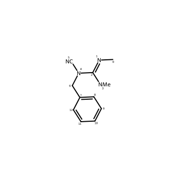 C/N=C(\NC)N(C#N)Cc1ccccc1